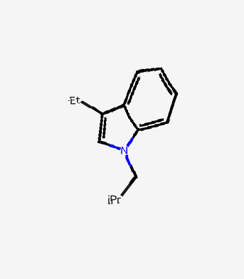 C[CH]c1cn(CC(C)C)c2ccccc12